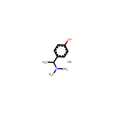 Br.CC(c1ccc(O)cc1)N(C)C